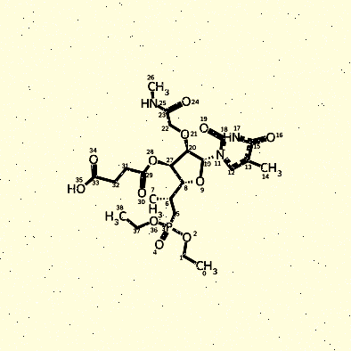 CCOP(=O)(C[C@H](C)[C@H]1O[C@@H](n2cc(C)c(=O)[nH]c2=O)[C@H](OCC(=O)NC)[C@@H]1OC(=O)CCC(=O)O)OCC